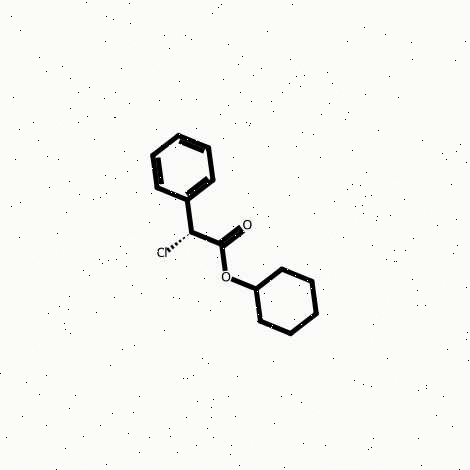 O=C(OC1CCCCC1)[C@H](Cl)c1ccccc1